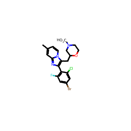 Cc1ccn2c(CC3CN(C(=O)O)CCO3)c(-c3c(F)cc(Br)cc3Cl)nc2c1